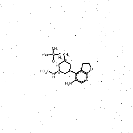 C[C@H]1CN(c2c(N)cnc3c2CCO3)C[C@@H](NC(=O)O)[C@@H]1O[Si](C)(C)C(C)(C)C